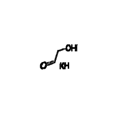 O=CCO.[KH]